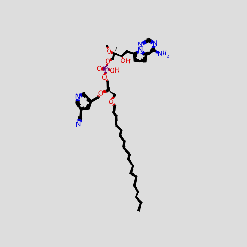 CCCCCCCCCCCCCCCCCCOC[C@H](COP(=O)(O)OC[C@@](C)(OC)[C@@H](O)Cc1ccc2c(N)ncnn12)OCc1cncc(C#N)c1